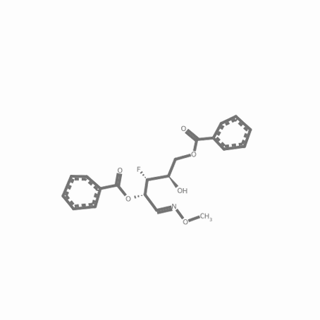 CO/N=C/[C@H](OC(=O)c1ccccc1)[C@H](F)[C@H](O)COC(=O)c1ccccc1